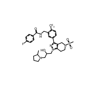 CC1CCCN1CC(O)Cn1nc(-c2ccc(C(F)(F)F)c(CNC(=O)c3ccc(F)cc3)c2)c2c1CCN(S(C)(=O)=O)C2